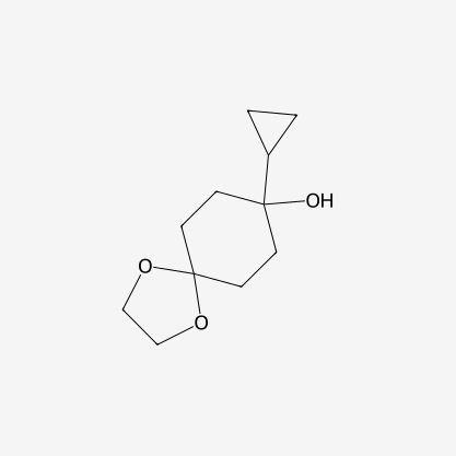 OC1(C2CC2)CCC2(CC1)OCCO2